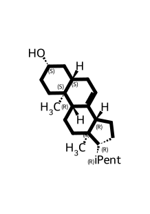 CCC[C@@H](C)[C@H]1CC[C@H]2C3=CC[C@H]4C[C@@H](O)CC[C@]4(C)[C@H]3CC[C@]12C